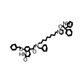 NC(=O)C(c1ccccc1)(c1ccccc1)[C@@H]1CCN(CCCCCCCCCN(CC(=O)c2ccc(OCc3ccccc3)c3[nH]c(=O)ccc23)Cc2ccccc2)C1